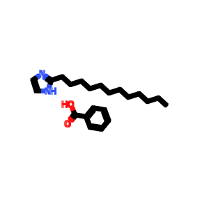 CCCCCCCCCCCCc1ncc[nH]1.O=C(O)c1ccccc1